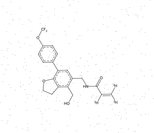 [2H]C([2H])=C([2H])C(=O)NCc1cc(-c2ccc(OC(F)(F)F)cc2)c2c(c1CO)CCO2